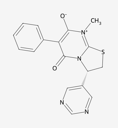 C[n+]1c([O-])c(-c2ccccc2)c(=O)n2c1SC[C@@H]2c1cncnc1